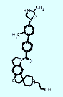 Cc1cc(N2CNC(C)O2)ccc1-c1ccc(C(=O)N2CCc3cc4c(cc32)C2(CCN(CCO)CC2)CO4)cc1